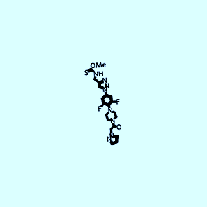 COC(=S)NCc1cn(-c2cc(F)c(N3CCN(C(=O)Cn4cccn4)CC3)c(F)c2)nn1